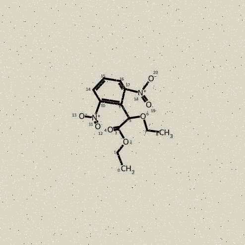 CCOC(=O)C(OCC)c1c([N+](=O)[O-])cccc1[N+](=O)[O-]